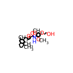 COc1cc(OCCO)cc(OC)c1NC(=O)c1ccc(Cc2cc3c(cc2C)CCCC3(C)C)o1